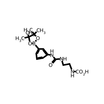 CC1(C)OB(c2cccc(NC(=O)NCCNC(=O)O)c2)OC1(C)C